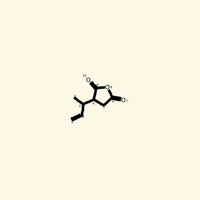 C=CC(C)C1CC(=O)OC1=O